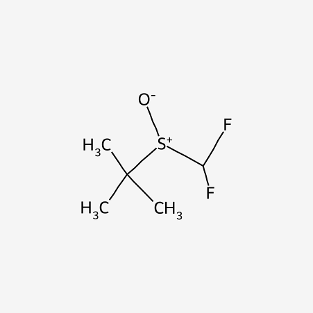 CC(C)(C)[S+]([O-])C(F)F